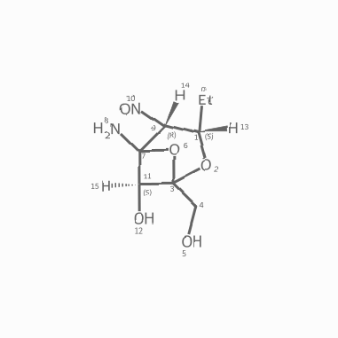 CC[C@@H]1OC2(CO)OC(N)([C@@H]1N=O)[C@@H]2O